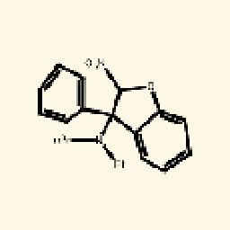 CCCN(CC)C1(c2ccccc2)c2ccccc2OC1[N+](=O)[O-]